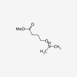 COC(=O)CCCO[SiH](C)C